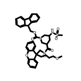 COCCCCC1(CNC(=O)C2CC(NS(C)(=O)=O)CN(C(=O)OCC3c4ccccc4-c4ccccc43)C2)c2ccccc2Oc2ccccc21